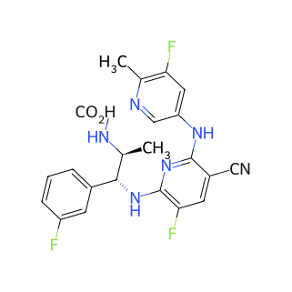 Cc1ncc(Nc2nc(N[C@H](c3cccc(F)c3)[C@H](C)NC(=O)O)c(F)cc2C#N)cc1F